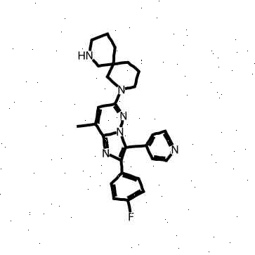 Cc1cc(N2CCCC3(CCCNC3)C2)nn2c(-c3ccncc3)c(-c3ccc(F)cc3)nc12